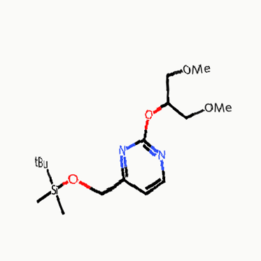 COCC(COC)Oc1nccc(CO[Si](C)(C)C(C)(C)C)n1